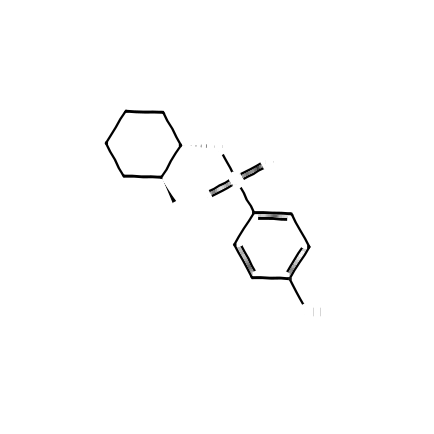 Cc1ccc(S(=O)(=O)O[C@H]2CCCC[C@@H]2O)cc1